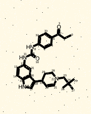 CCC(=O)c1ccc(NC(=O)Nc2ccc3[nH]cc(C4C=CN(CC(C)(C)C)CC4)c3c2)cc1